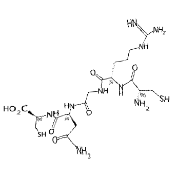 N=C(N)NCCC[C@H](NC(=O)[C@@H](N)CS)C(=O)NCC(=O)N[C@@H](CC(N)=O)C(=O)N[C@@H](CS)C(=O)O